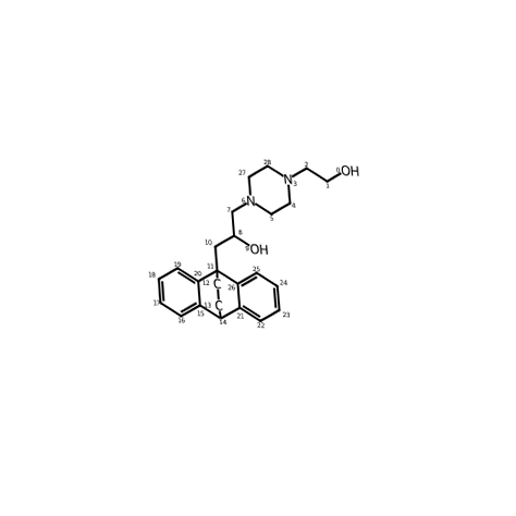 OCCN1CCN(CC(O)CC23CCC(c4ccccc42)c2ccccc23)CC1